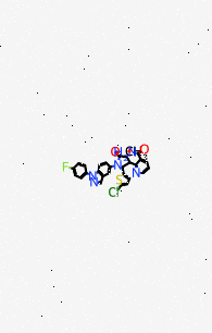 CC1C(=O)N(c2ccc3c(cnn3-c3ccc(F)cc3)c2)C(c2ccc(Cl)s2)C1c1ncccc1C(N)=O